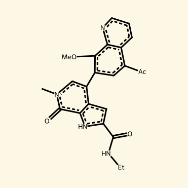 CCNC(=O)c1cc2c(-c3cc(C(C)=O)c4cccnc4c3OC)cn(C)c(=O)c2[nH]1